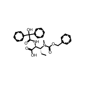 CC[C@H]([C@H](NC(=O)C(O)(c1ccccc1)c1ccccc1)C(=O)O)N(C)C(=O)OCc1ccccc1